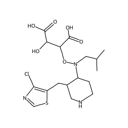 CC(C)CN(OC(C(=O)O)C(O)C(=O)O)C1CCNCC1Cc1scnc1Cl